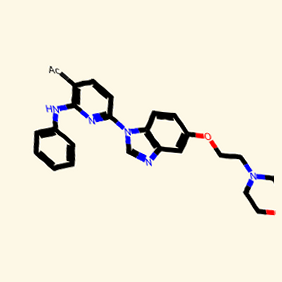 CC(=O)c1ccc(-n2cnc3cc(OCCN4CCOCC4)ccc32)nc1Nc1ccccc1